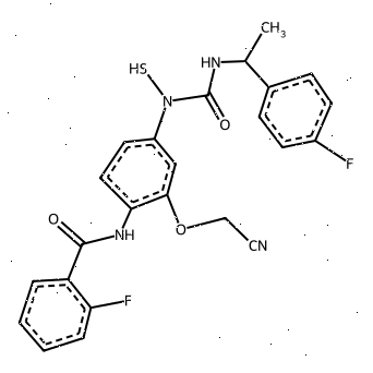 CC(NC(=O)N(S)c1ccc(NC(=O)c2ccccc2F)c(OCC#N)c1)c1ccc(F)cc1